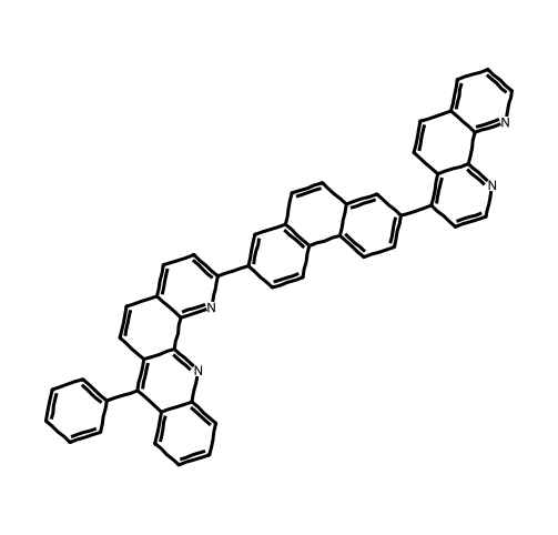 c1ccc(-c2c3ccccc3nc3c2ccc2ccc(-c4ccc5c(ccc6cc(-c7ccnc8c7ccc7cccnc78)ccc65)c4)nc23)cc1